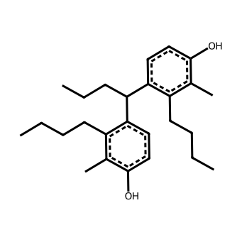 CCCCc1c(C(CCC)c2ccc(O)c(C)c2CCCC)ccc(O)c1C